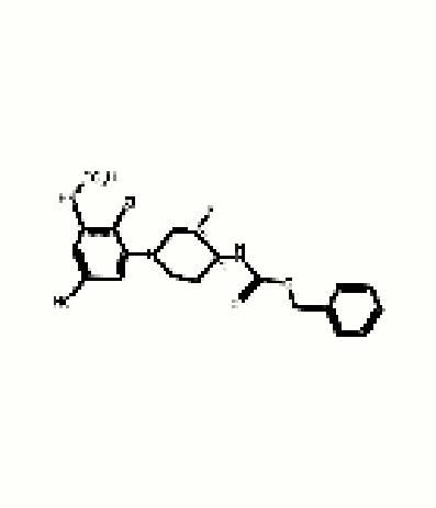 N#Cc1cc(NC(=O)O)c(Cl)c(N2CC[C@H](NC(=O)OCc3ccccc3)[C@H](F)C2)c1